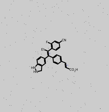 CC/C(=C(/c1ccc(/C=C/C(=O)O)cc1)c1ccc2c(c1)CNN2)c1ccc(C#N)cc1F